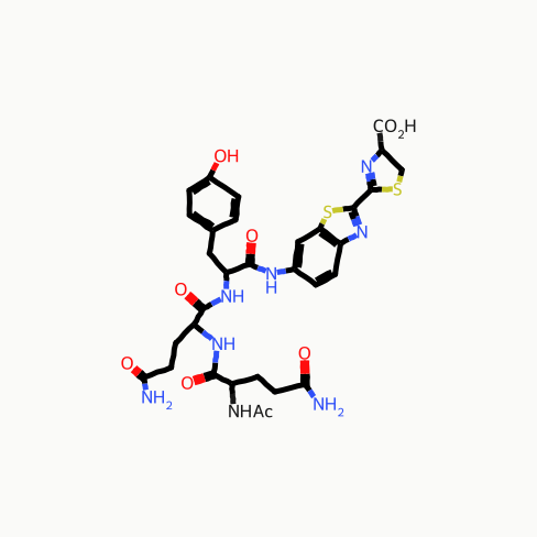 CC(=O)NC(CCC(N)=O)C(=O)NC(CCC(N)=O)C(=O)NC(Cc1ccc(O)cc1)C(=O)Nc1ccc2nc(C3=NC(C(=O)O)CS3)sc2c1